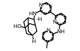 Cc1ccnc(Nc2cccc(-c3ccnc(N[C@H]4C5CC6(O)CC4C[C@H](C5)C6)c3)n2)c1